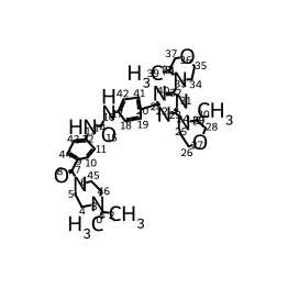 CC(C)N1CCN(C(=O)c2ccc(NC(=O)Nc3ccc(-c4nc(N5CCOC[C@@H]5C)nc(N5CCOC[C@@H]5C)n4)cc3)cc2)CC1